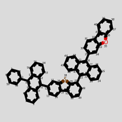 c1ccc(-c2c3ccccc3c(-c3ccc4c(c3)sc3c(-c5c6ccccc6c(-c6ccc7c(c6)oc6ccccc67)c6ccccc56)cccc34)c3ccccc23)cc1